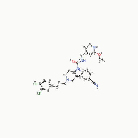 COc1cc(CNC(=O)n2c3c(c4cc(C#N)ccc42)CN(CC=Cc2ccc(Cl)c(Cl)c2)CC3)ccn1